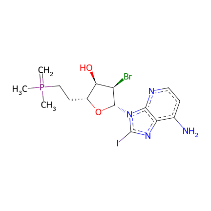 C=P(C)(C)CC[C@H]1O[C@@H](n2c(I)nc3c(N)ccnc32)[C@H](Br)[C@@H]1O